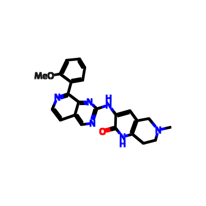 COc1ccccc1-c1nccc2cnc(Nc3cc4c([nH]c3=O)CCN(C)C4)nc12